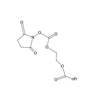 CCCC(=O)OCCOC(=O)ON1C(=O)CCC1=O